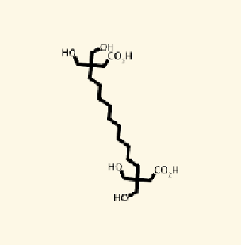 O=C(O)CC(CO)(CO)CCCCCCCCCCC(CO)(CO)CC(=O)O